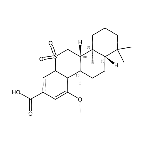 COC1=CC(C(=O)O)=CC2C1[C@]1(C)CC[C@H]3C(C)(C)CCC[C@]3(C)[C@H]1CS2(=O)=O